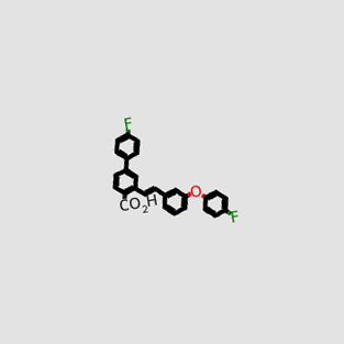 O=C(O)c1ccc(-c2ccc(F)cc2)cc1C=Cc1cccc(Oc2ccc(F)cc2)c1